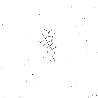 FCCC(F)(F)C(F)(F)C(F)(F)C(F)(C(F)=C(F)F)C(F)(F)F